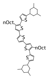 CCCCCCCCc1cc(-c2ccc(-c3cc(CCCCCCCC)c(-c4ccc(C5CC(C)CC(C)C5)s4)s3)s2)sc1-c1ccc(C2CC(C)CC(C)C2)s1